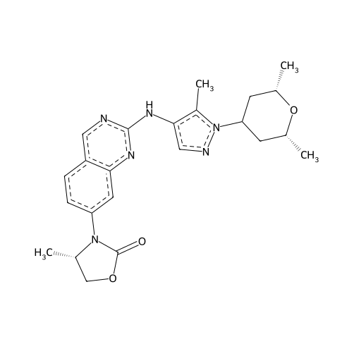 Cc1c(Nc2ncc3ccc(N4C(=O)OC[C@@H]4C)cc3n2)cnn1C1C[C@@H](C)O[C@@H](C)C1